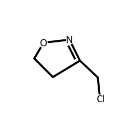 ClCC1=NOCC1